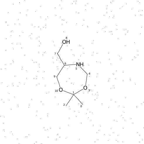 CC1(C)OCNC(CO)CO1